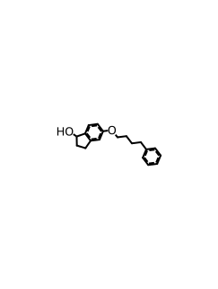 OC1CCc2cc(OCCCCc3ccccc3)ccc21